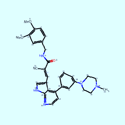 COc1ccc(CNC(=O)/C(C#N)=C/c2c[nH]c3nccc(-c4cccc(N5CCN(C)CC5)c4)c23)cc1OC